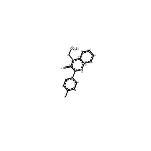 CCOC(=O)Cn1c(=O)c(-c2ccc(C)cc2)nc2ccccc21